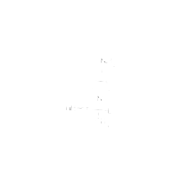 CCCCCCCC(C)(CC)N1CC2C(N)C2C1